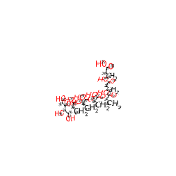 C=CC(=O)O.C=CC(=O)O.C=CC(=O)O.C=CC(=O)O.C=CC(=O)O.C=CC(=O)O.OC[C@@H](O)[C@@H](O)CO